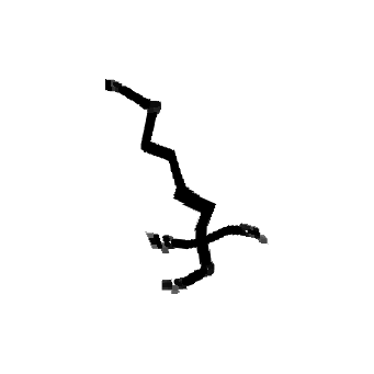 CCOCCCCC(C)(C)O[SiH3]